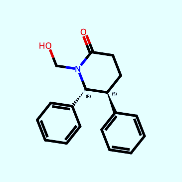 O=C1CC[C@@H](c2ccccc2)[C@H](c2ccccc2)N1CO